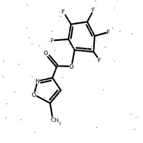 Cc1cc(C(=O)Oc2c(F)c(F)c(F)c(F)c2F)no1